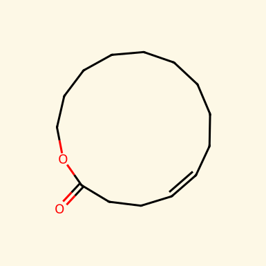 O=C1CCC=CCCCCCCCCCO1